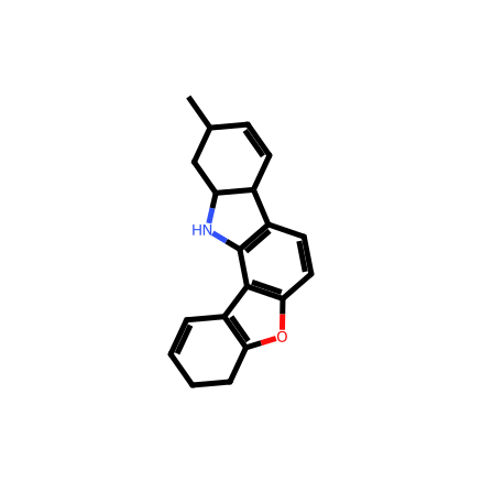 CC1C=CC2c3ccc4oc5c(c4c3NC2C1)C=CCC5